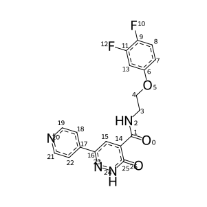 O=C(NCCOc1ccc(F)c(F)c1)c1cc(-c2ccncc2)n[nH]c1=O